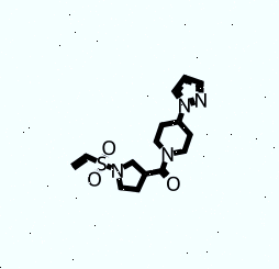 C=CS(=O)(=O)N1CCC(C(=O)N2CCC(n3cccn3)CC2)C1